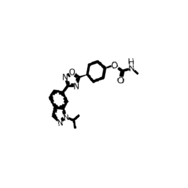 CNC(=O)O[C@H]1CC[C@@H](c2nc(-c3ccc4cnn(C(C)C)c4c3)no2)CC1